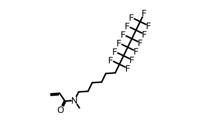 C=CC(=O)N(C)CCCCCCC(F)(F)C(F)(F)C(F)(F)C(F)(F)C(F)(F)C(F)(F)F